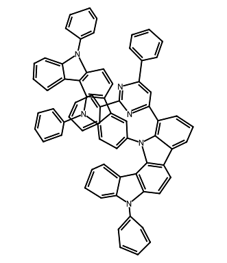 c1ccc(-c2cc(-c3cccc4c5ccc6c(c7ccccc7n6-c6ccccc6)c5n(-c5ccc6c(c5)c5ccc7c(c8ccccc8n7-c7ccccc7)c5n6-c5ccccc5)c34)nc(-c3ccccc3)n2)cc1